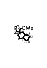 COC(=O)C1(C(F)F)CCc2ccccc2C1